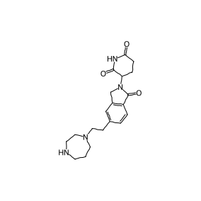 O=C1CCC(N2Cc3cc(CCN4CCCNCC4)ccc3C2=O)C(=O)N1